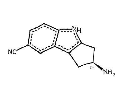 N#Cc1ccc2[nH]c3c(c2c1)C[C@H](N)C3